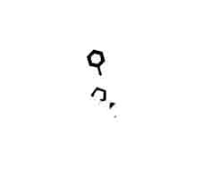 COC(=O)[C@@H]1C[C@@H](OCc2ccccc2)CN1